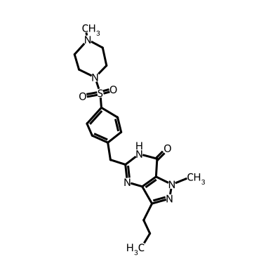 CCCc1nn(C)c2c(=O)[nH]c(Cc3ccc(S(=O)(=O)N4CCN(C)CC4)cc3)nc12